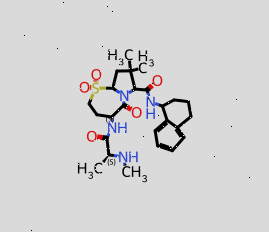 CN[C@@H](C)C(=O)N[C@H]1CCS(=O)(=O)C2CC(C)(C)C(C(=O)NC3CCCc4ccccc43)N2C1=O